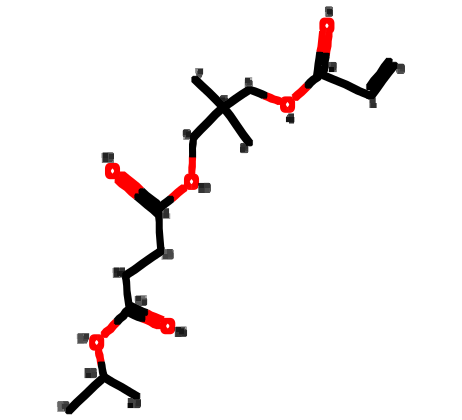 C=CC(=O)OCC(C)(C)COC(=O)CCC(=O)OC(C)C